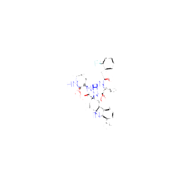 CCC(C)[C@H](NC(=O)Cc1ccccc1F)C(=O)N[C@]1(C(=O)N[C@H]2CCCNC2=O)CCc2[nH]c3c(C(F)(F)F)cccc3c2C1